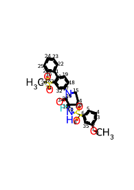 COc1cccc(S(=O)(=O)NC2(F)CCCN(c3ccc(-c4ccccc4)c(S(C)(=O)=O)c3)C2=O)c1